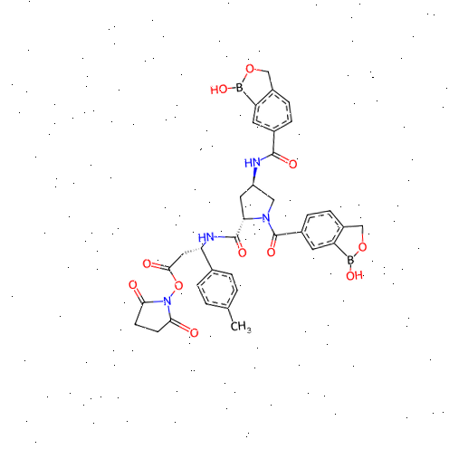 Cc1ccc([C@H](CC(=O)ON2C(=O)CCC2=O)NC(=O)[C@@H]2C[C@@H](NC(=O)c3ccc4c(c3)B(O)OC4)CN2C(=O)c2ccc3c(c2)B(O)OC3)cc1